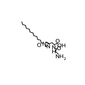 CCCCCCCCCCCC(=O)n1cnc(CC(NC(=O)CCN)C(=O)O)c1